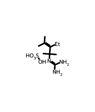 CCC(=C(C)C)C(C)(C)N=C(N)N.O=S(=O)(O)O